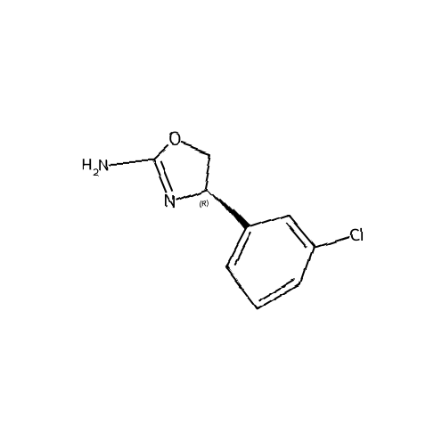 NC1=N[C@H](c2cccc(Cl)c2)CO1